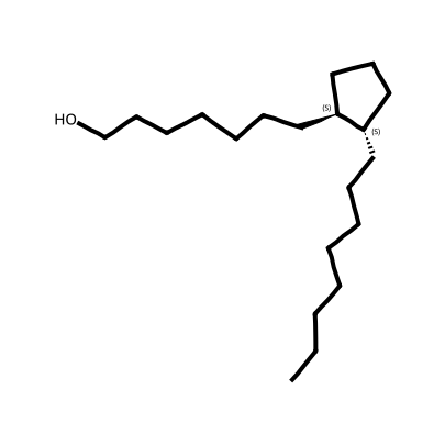 CCCCCCCC[C@H]1CCC[C@@H]1CCCCCCCO